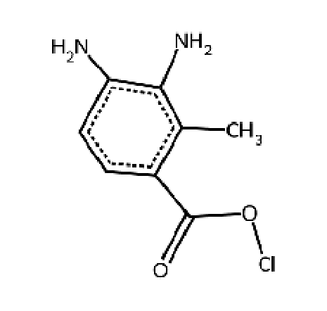 Cc1c(C(=O)OCl)ccc(N)c1N